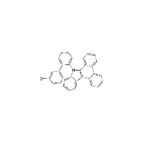 Clc1cccc(-c2ccccc2-n2c3ccccc3c3c4ccccc4c4ccccc4c32)c1